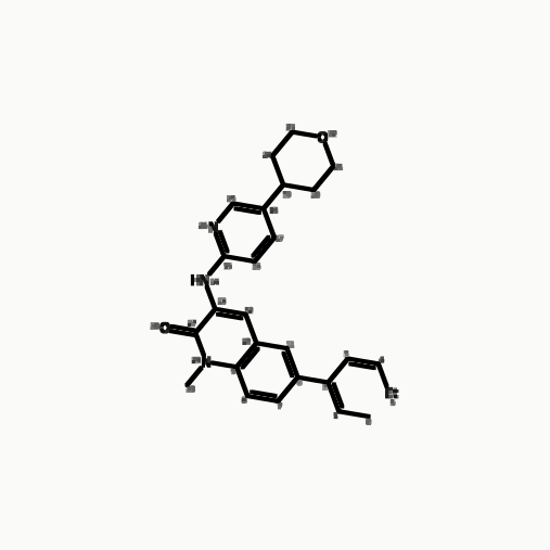 C/C=C(\C=C/CC)c1ccc2c(c1)cc(Nc1ccc(C3CCOCC3)cn1)c(=O)n2C